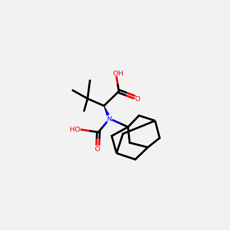 CC(C)(C)[C@@H](C(=O)O)N(C(=O)O)C12CC3CC(CC(C3)C1)C2